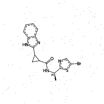 C[C@@H](NC(=O)C1CC1c1nc2ccccc2[nH]1)c1ncc(Br)s1